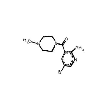 CN1CCN(C(=O)c2cc(Br)cnc2N)CC1